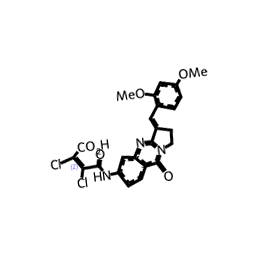 COc1ccc(C=C2CCn3c2nc2cc(NC(=O)/C(Cl)=C(/Cl)C(=O)O)ccc2c3=O)c(OC)c1